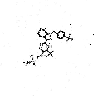 CC(C)(C)C(NC(=O)c1nn(Cc2ccc(C(F)(F)F)cc2)c2ccccc12)C(=O)NCCS(N)(=O)=O